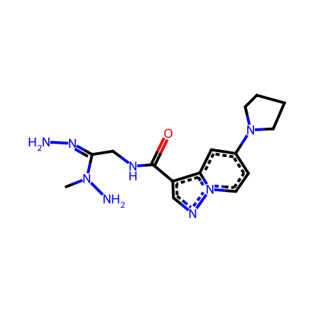 CN(N)/C(CNC(=O)c1cnn2ccc(N3CCCC3)cc12)=N\N